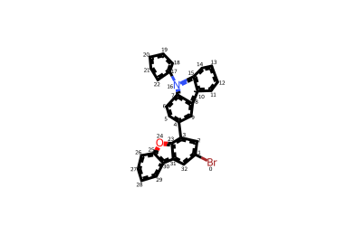 Brc1cc(-c2ccc3c(c2)c2ccccc2n3-c2ccccc2)c2oc3ccccc3c2c1